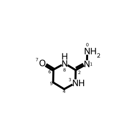 N/N=C1/NCCC(=O)N1